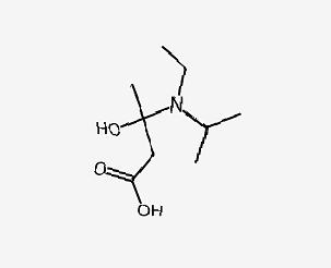 CCN(C(C)C)C(C)(O)CC(=O)O